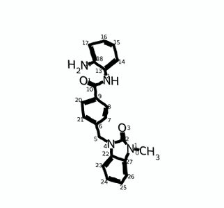 Cn1c(=O)n(Cc2ccc(C(=O)Nc3ccccc3N)cc2)c2ccccc21